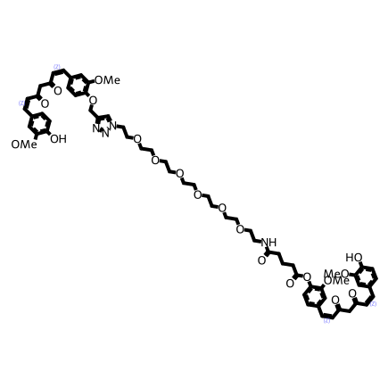 COc1cc(/C=C\C(=O)CC(=O)/C=C\c2ccc(OCc3cn(CCOCCOCCOCCOCCOCCOCCNC(=O)CCCC(=O)Oc4ccc(/C=C\C(=O)CC(=O)/C=C\c5ccc(O)c(OC)c5)cc4OC)nn3)c(OC)c2)ccc1O